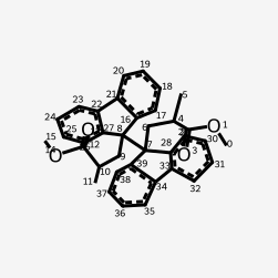 COC(=O)C(C)CC1(C2(CC(C)C(=O)OC)c3ccccc3-c3ccccc32)c2ccccc2-c2ccccc21